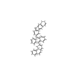 C1=Cc2cc3c(cc2CC1)oc1ccc(-c2c4ccccc4c(C4=CC=C5C=Cc6ccccc6C5C4)c4ccccc24)cc13